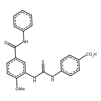 COc1ccc(C(=O)Nc2ccccc2)cc1NC(=S)Nc1ccc(C(=O)O)cc1